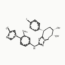 COc1cc(Nc2nc3n(n2)C[C@@H](O)[C@@H](O)C[C@H]3c2ccc(F)cc2)ccc1-n1cnc(Cl)c1